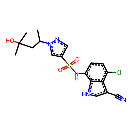 CC(CC(C)(C)O)n1cc(S(=O)(=O)Nc2ccc(Cl)c3c(C#N)c[nH]c23)cn1